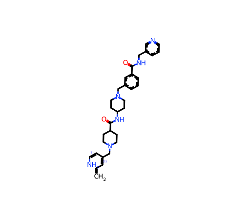 C=C/C=C(\C=C/N)CN1CCC(C(=O)NC2CCN(Cc3cccc(C(=O)NCc4cccnc4)c3)CC2)CC1